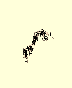 COC(=O)CC[C@@H](C(N)=O)N1Cc2c(NC(=O)c3cnc(N4CCN(CCCOc5cc6ncnc(Nc7n[nH]c(C)c7C)c6cc5S(=O)(=O)C(C)(C)C)CC4)nc3)cccc2C1=O